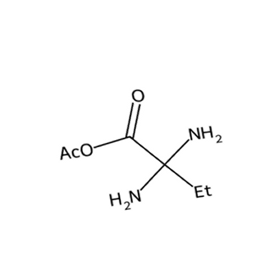 CCC(N)(N)C(=O)OC(C)=O